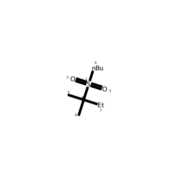 CCCCS(=O)(=O)C(C)(C)CC